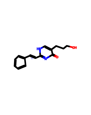 O=c1nc(/C=C/c2ccccc2)[nH]cc1CCCO